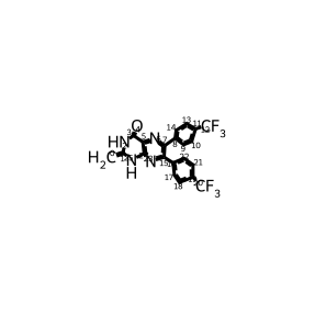 C=C1NC(=O)c2nc(-c3ccc(C(F)(F)F)cc3)c(-c3ccc(C(F)(F)F)cc3)nc2N1